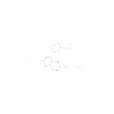 CC(C)Nc1nc(-n2cc(C(=O)O)c(=O)c3cc(F)c(N4CC(NC(C)C)C4)c(Cl)c32)c(F)cc1F